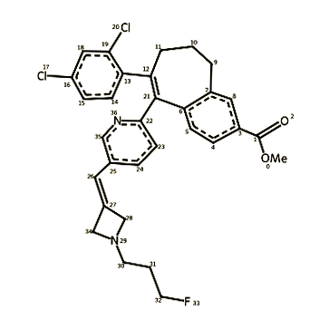 COC(=O)c1ccc2c(c1)CCCC(c1ccc(Cl)cc1Cl)=C2c1ccc(C=C2CN(CCCF)C2)cn1